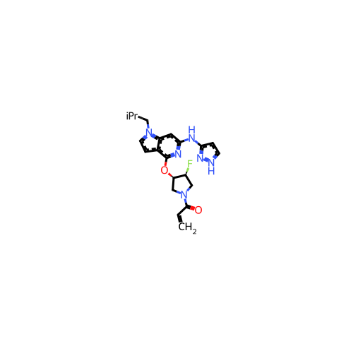 C=CC(=O)N1C[C@H](F)[C@H](Oc2nc(Nc3cc[nH]n3)cc3c2ccn3CC(C)C)C1